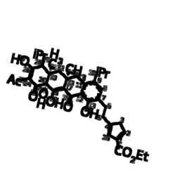 CCOC(=O)C1=CCC(CCc2cc(C(C)C)c3c(c2O)C(=O)C2=C(O)[C@@]4(O)C(=O)C(C(C)=O)=C(O)C(C(C)C)[C@@]4(C)C[C@@]2(C)C3)=C1